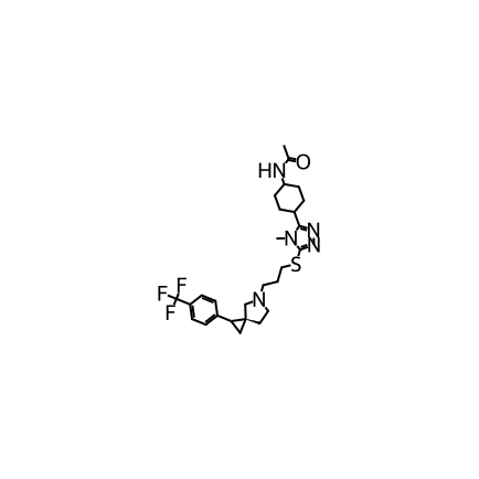 CC(=O)NC1CCC(c2nnc(SCCCN3CC[C@]4(CC4c4ccc(C(F)(F)F)cc4)C3)n2C)CC1